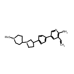 C=Cc1cc(-c2ccc(C3CCN(C4CCN(SC)CC4)C3)cc2)cnc1N